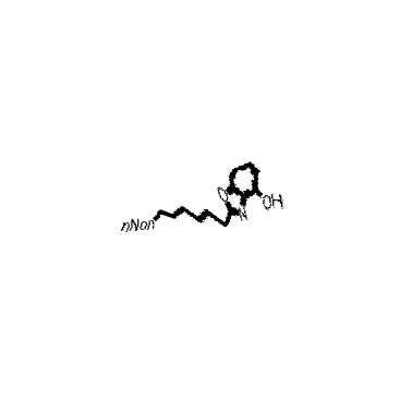 CCCCCCCCCCCCCCCc1nc2c(O)cccc2o1